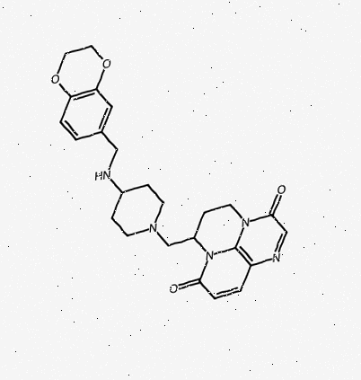 O=c1cnc2ccc(=O)n3c2n1CCC3CN1CCC(NCc2ccc3c(c2)OCCO3)CC1